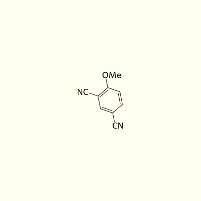 COc1ccc(C#N)cc1C#N